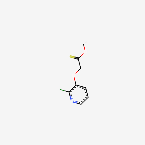 CC(C)(C)OC(=S)COc1cccnc1Cl